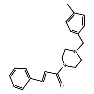 Cc1ccc(CN2CCN(C(=O)C=Cc3ccccc3)CC2)cc1